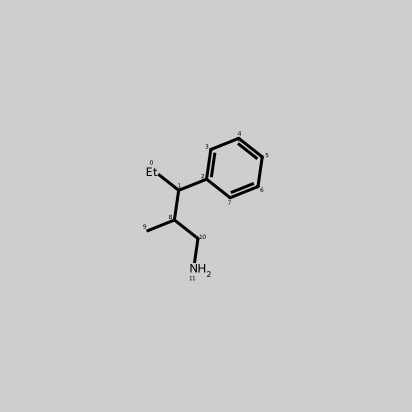 CCC(c1c[c]ccc1)C(C)CN